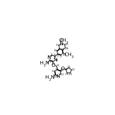 Cc1cc(-c2cnc(N)c(OCc3cc(N)ncc3OC3CCCC3)n2)cc2c1CCN(C)C2